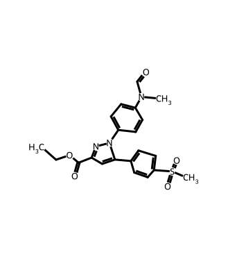 CCOC(=O)c1cc(-c2ccc(S(C)(=O)=O)cc2)n(-c2ccc(N(C)C=O)cc2)n1